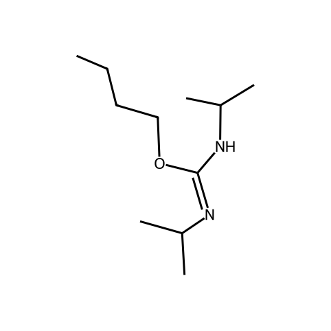 CCCCO/C(=N\C(C)C)NC(C)C